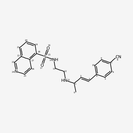 CC(C=Cc1ccc(C#N)cc1)NCCNS(=O)(=O)c1cccc2cnccc12